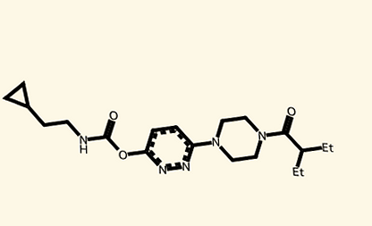 CCC(CC)C(=O)N1CCN(c2ccc(OC(=O)NCCC3CC3)nn2)CC1